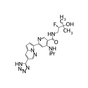 CC(C)Nc1cc(-c2ccc3cc(-c4nnn[nH]4)cnn23)ncc1C(=O)NC[C@@H](F)C(C)(C)O